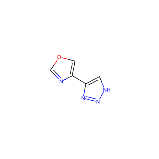 [c]1nc(-c2c[nH]nn2)co1